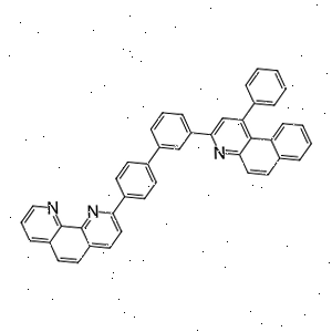 c1ccc(-c2cc(-c3cccc(-c4ccc(-c5ccc6ccc7cccnc7c6n5)cc4)c3)nc3ccc4ccccc4c23)cc1